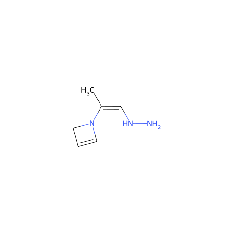 C/C(=C/NN)N1C=CC1